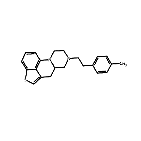 Cc1ccc(CCN2CCN3c4cccc5scc(c45)CC3C2)cc1